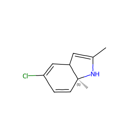 CC1=CC2C=C(Cl)C=C[C@]2(C)N1